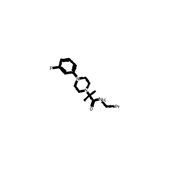 CC(C)CNC(=O)C(C)(C)N1CCN(c2cccc(F)c2)CC1